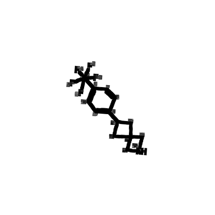 FS(F)(F)(F)(F)c1ccc(C2CC3(CNC3)C2)cc1